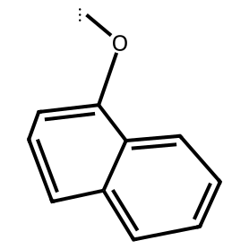 [C]Oc1cccc2ccccc12